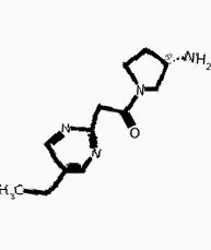 CCc1cnc(CC(=O)N2CC[C@H](N)C2)nc1